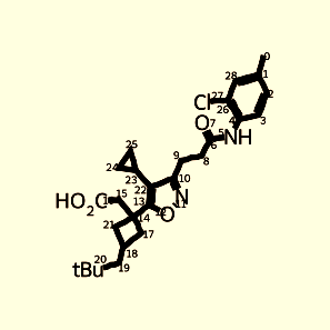 Cc1ccc(NC(=O)CCc2noc(C3(CC(=O)O)CC(CC(C)(C)C)C3)c2C2CC2)c(Cl)c1